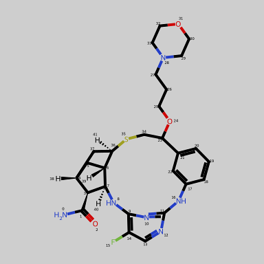 NC(=O)[C@H]1[C@H]2C[C@H]3[C@H]1Nc1nc(ncc1F)Nc1cccc(c1)C(OCCCN1CCOCC1)CS[C@@H]3C2